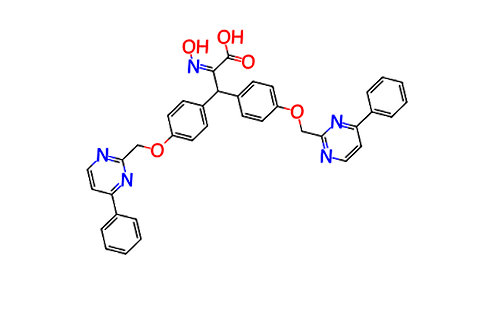 O=C(O)C(=NO)C(c1ccc(OCc2nccc(-c3ccccc3)n2)cc1)c1ccc(OCc2nccc(-c3ccccc3)n2)cc1